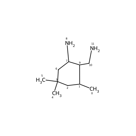 CC1CC(C)(C)CC(N)C1CN